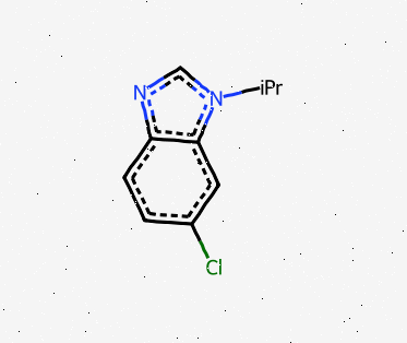 CC(C)n1cnc2ccc(Cl)cc21